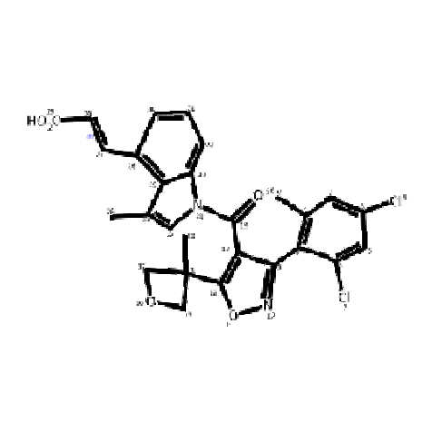 Cc1cc(Cl)cc(Cl)c1-c1noc(C2(C)COC2)c1C(=O)n1cc(C)c2c(/C=C/C(=O)O)cccc21